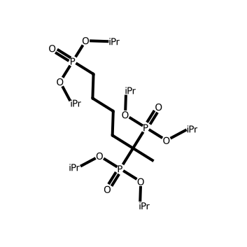 CC(C)OP(=O)(CCCCC(C)(P(=O)(OC(C)C)OC(C)C)P(=O)(OC(C)C)OC(C)C)OC(C)C